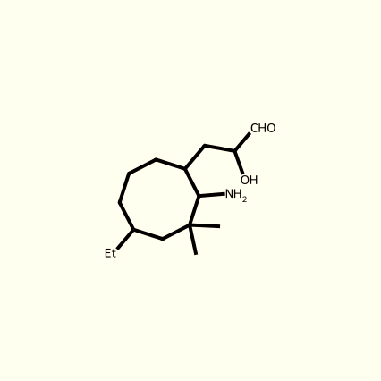 CCC1CCCC(CC(O)C=O)C(N)C(C)(C)C1